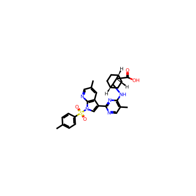 Cc1ccc(S(=O)(=O)n2cc(-c3ncc(C)c(NC4[C@H]5CC[C@H](CC5)[C@@H]4C(=O)O)n3)c3cc(C)cnc32)cc1